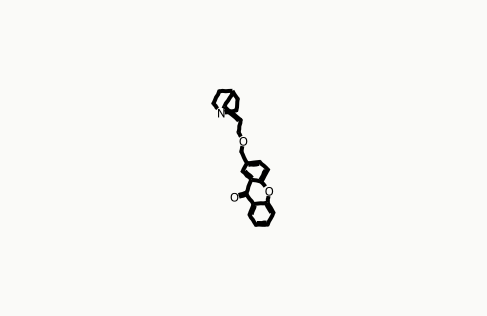 O=c1c2ccccc2oc2ccc(COCC=C3CC4CCN3CC4)cc12